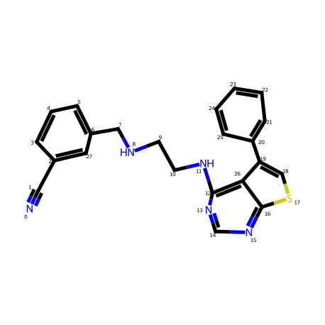 N#Cc1cccc(CNCCNc2ncnc3scc(-c4ccccc4)c23)c1